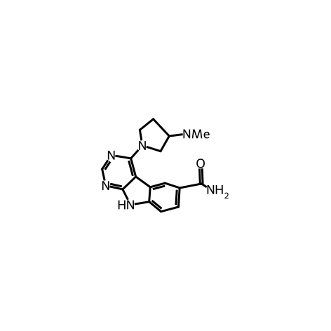 CNC1CCN(c2ncnc3[nH]c4ccc(C(N)=O)cc4c23)C1